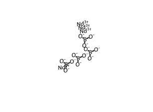 [Nd+3].[Nd+3].[Nd+3].[Nd+3].[O-]B([O-])[O-].[O-]B([O-])[O-].[O-]B([O-])[O-].[O-]B([O-])[O-]